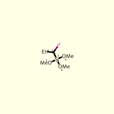 CCC(I)[Si](OC)(OC)OC